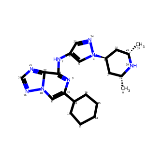 C[C@@H]1C[C@@H](n2cc(Nc3nc(C4CCCCC4)cn4ncnc34)cn2)C[C@H](C)N1